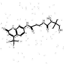 CC(C)(CO)C(O)C(=O)NCCC(=O)Nc1ccc2c(C(F)(F)F)cc(=O)oc2c1